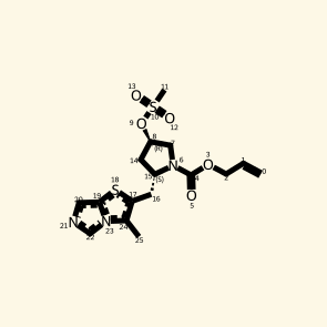 C=CCOC(=O)N1C[C@H](OS(C)(=O)=O)C[C@H]1Cc1sc2cncn2c1C